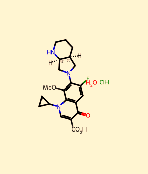 COc1c(N2C[C@@H]3CCCN[C@@H]3C2)c(F)cc2c(=O)c(C(=O)O)cn(C3CC3)c12.Cl.O